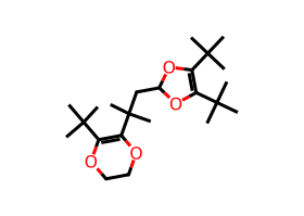 CC(C)(C)C1=C(C(C)(C)C)OC(CC(C)(C)C2=C(C(C)(C)C)OCCO2)O1